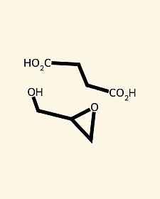 O=C(O)CCC(=O)O.OCC1CO1